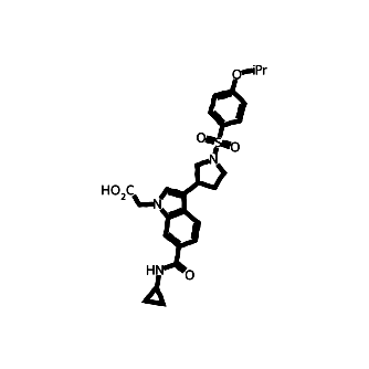 CC(C)Oc1ccc(S(=O)(=O)N2CCC(c3cn(CC(=O)O)c4cc(C(=O)NC5CC5)ccc34)C2)cc1